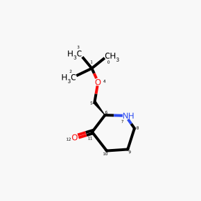 CC(C)(C)OC[C@H]1NCCCC1=O